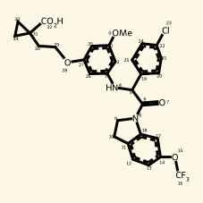 COc1cc(NC(C(=O)N2CCc3ccc(OC(F)(F)F)cc32)c2ccc(Cl)cc2)cc(OCCC2(C(=O)O)CC2)c1